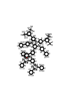 CC(C)(C)c1cc(-c2ccc3c(c2)N(c2ccc(-c4ccccc4)cc2)c2cc(-c4ccc5c(c4)c4ccccc4n5-c4ccc(-c5nc(-c6ccccc6)nc(-c6ccccc6)n5)cc4-c4nc(-c5ccccc5)nc(-c5ccccc5)n4)cc4c2B3c2ccc(-c3cc(C(C)(C)C)cc(C(C)(C)C)c3)cc2N4c2ccc(-c3ccccc3)cc2)cc(C(C)(C)C)c1